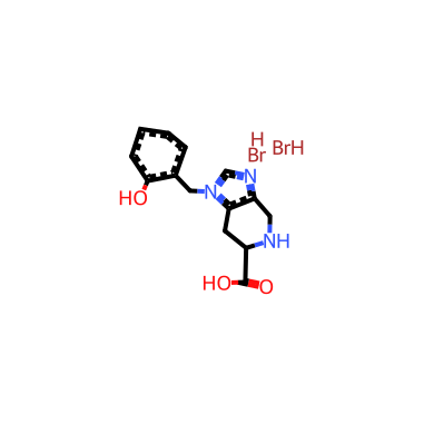 Br.Br.O=C(O)C1Cc2c(ncn2Cc2ccccc2O)CN1